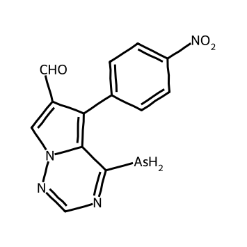 O=Cc1cn2ncnc([AsH2])c2c1-c1ccc([N+](=O)[O-])cc1